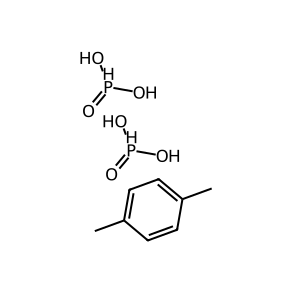 Cc1ccc(C)cc1.O=[PH](O)O.O=[PH](O)O